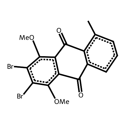 COc1c(Br)c(Br)c(OC)c2c1C(=O)c1cccc(C)c1C2=O